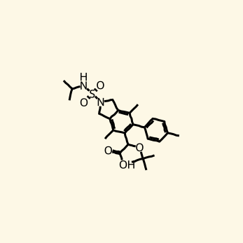 Cc1ccc(-c2c(C)c3c(c(C)c2C(OC(C)(C)C)C(=O)O)CN(S(=O)(=O)NC(C)C)C3)cc1